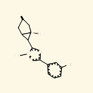 CC(C)n1nc(-c2cccc(C(F)(F)F)c2)nc1C1C2CC(=O)C[C@@H]21